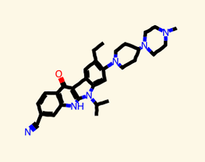 CCc1cc2c3c(=O)c4ccc(C#N)cc4[nH]c3n(C(C)C)c2cc1N1CCC(N2CCN(C)CC2)CC1